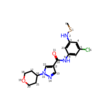 CSNc1cc(Cl)cc(NC(=O)c2cnn(C3CCOCC3)c2)c1